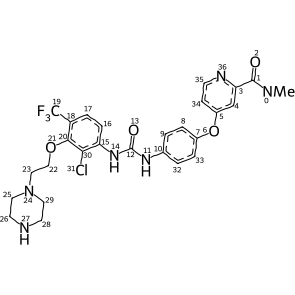 CNC(=O)c1cc(Oc2ccc(NC(=O)Nc3ccc(C(F)(F)F)c(OCCN4CCNCC4)c3Cl)cc2)ccn1